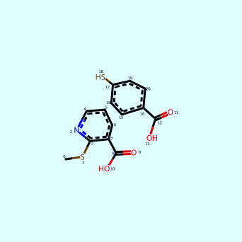 CSc1ncccc1C(=O)O.O=C(O)c1ccc(S)cc1